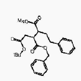 COC(=O)C(CCc1ccccc1)C(CC(=O)OC(C)(C)C)C(=O)OCc1ccccc1